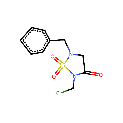 O=C1CN(Cc2ccccc2)S(=O)(=O)N1CCl